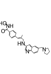 CC(=Cc1ccc(C(=O)NO)cc1)CNc1cnc2ccc(CN3CCCC3)cc2c1